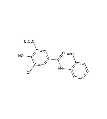 CCOC(=O)c1cc(C(=O)Nc2ccccc2OC(C)=O)cc(Cl)c1O